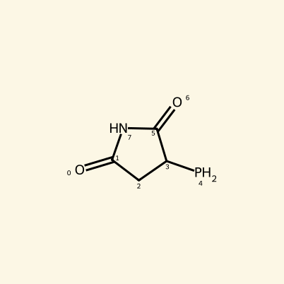 O=C1CC(P)C(=O)N1